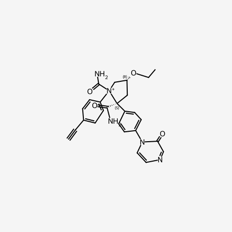 C#Cc1ccc([N+]2(C(N)=O)C[C@H](OCC)C[C@@]2(C(N)=O)c2ccc(-n3ccncc3=O)cc2)cc1